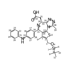 Cc1c(CO[Si](C)(C)C(C)(C)C)sc2c1C(c1ccc(Nc3ccccc3)cc1)=N[C@@H](CC(=O)O)c1nnc(C)n1-2